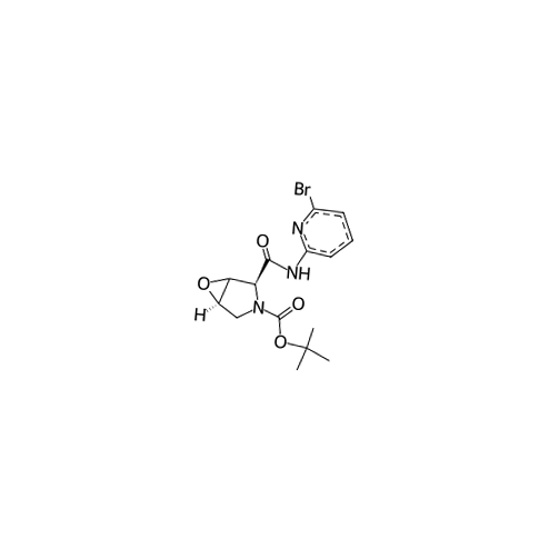 CC(C)(C)OC(=O)N1C[C@H]2OC2[C@H]1C(=O)Nc1cccc(Br)n1